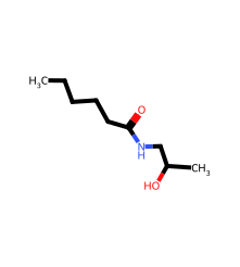 CCCCCC(=O)NCC(C)O